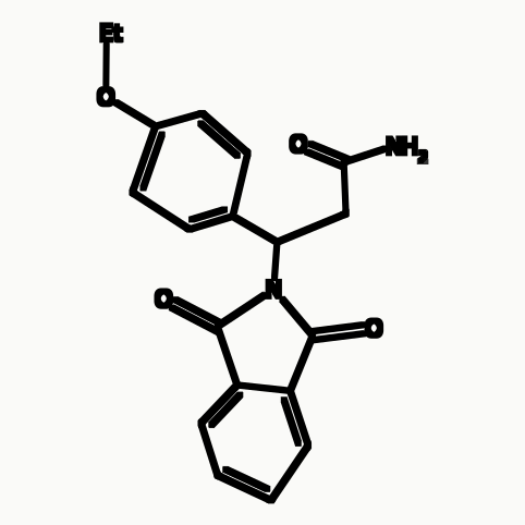 CCOc1ccc(C(CC(N)=O)N2C(=O)c3ccccc3C2=O)cc1